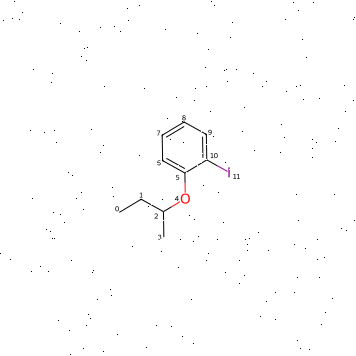 CCC(C)Oc1ccccc1I